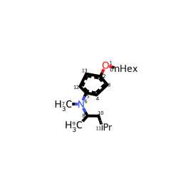 CCCCCCOc1ccc(N(C)C(C)CC(C)C)cc1